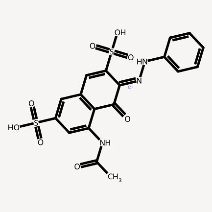 CC(=O)Nc1cc(S(=O)(=O)O)cc2c1C(=O)/C(=N/Nc1ccccc1)C(S(=O)(=O)O)=C2